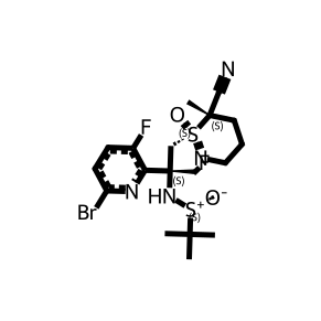 CC(C)(C)[S@@+]([O-])N[C@@](CF)(C[S@@]1(=O)=NCCC[C@@]1(C)C#N)c1nc(Br)ccc1F